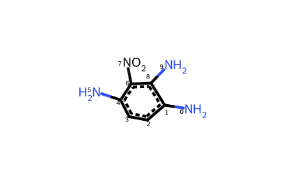 Nc1ccc(N)c([N+](=O)[O-])c1N